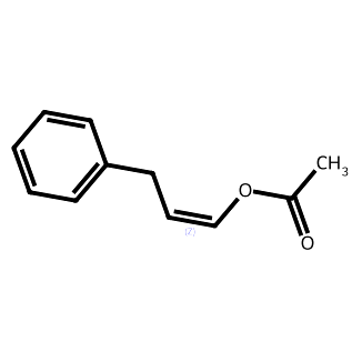 CC(=O)O/C=C\Cc1ccccc1